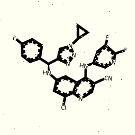 N#Cc1cnc2c(Cl)cc(N[C@@H](c3ccc(F)cc3)c3cn(C4CC4)nn3)cc2c1Nc1cnc(F)c(F)c1